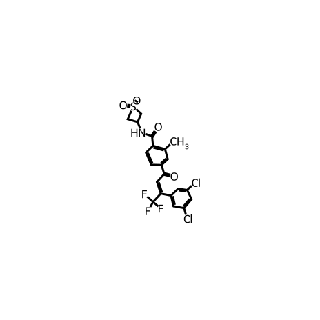 Cc1cc(C(=O)/C=C(\c2cc(Cl)cc(Cl)c2)C(F)(F)F)ccc1C(=O)NC1CS(=O)(=O)C1